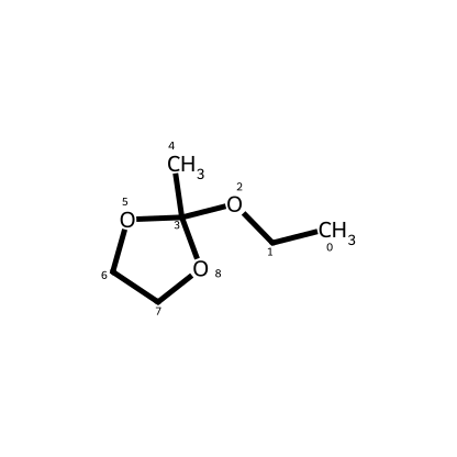 CCOC1(C)OCCO1